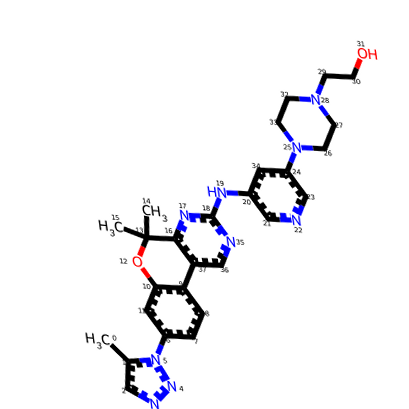 Cc1cnnn1-c1ccc2c(c1)OC(C)(C)c1nc(Nc3cncc(N4CCN(CCO)CC4)c3)ncc1-2